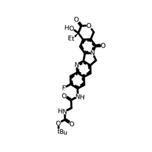 CC[C@@]1(O)C(=O)OCc2c1cc1n(c2=O)Cc2cc3cc(NC(=O)CNC(=O)OC(C)(C)C)c(F)cc3nc2-1